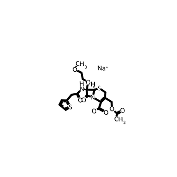 COCCO[C@@]1(NC(=O)Cc2cccs2)C(=O)N2C(C(=O)[O-])=C(COC(C)=O)CS[C@@H]21.[Na+]